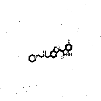 O=C1Nc2ccc(F)cc2C1=C1OCc2cc(CNCCN3CCCCC3)ccc21